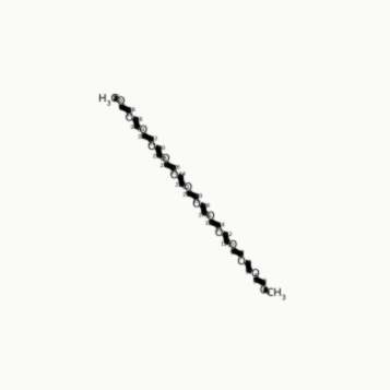 COCCOCCOCCOCCOCCOCCOCCOCCOCCOCCOCCOCCOCCOC